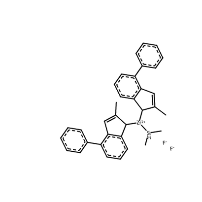 CC1=Cc2c(-c3ccccc3)cccc2[CH]1[Zr+2]([CH]1C(C)=Cc2c(-c3ccccc3)cccc21)[SiH](C)C.[F-].[F-]